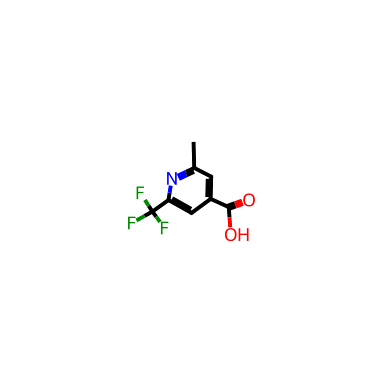 Cc1cc(C(=O)O)cc(C(F)(F)F)n1